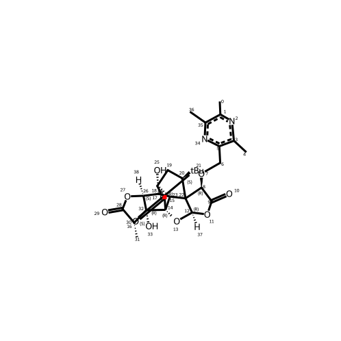 Cc1nc(C)c(CO[C@H]2C(=O)O[C@H]3O[C@]45C(=O)OC6C[C@@H](C(C)(C)C)C32[C@@]64[C@@H](O)[C@@H]2OC(=O)[C@@H](C)[C@@]25O)nc1C